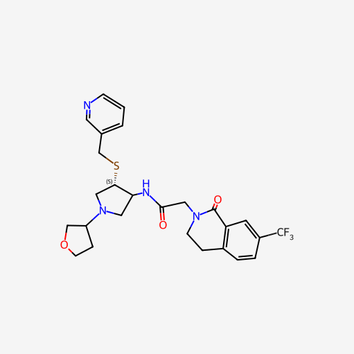 O=C(CN1CCc2ccc(C(F)(F)F)cc2C1=O)NC1CN(C2CCOC2)C[C@@H]1SCc1cccnc1